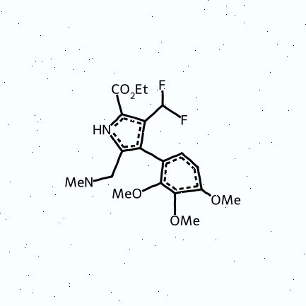 CCOC(=O)c1[nH]c(CNC)c(-c2ccc(OC)c(OC)c2OC)c1C(F)F